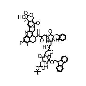 Cc1c(F)cc2nc3c(c4c2c1CC[C@@H]4NC(=O)CNC(=O)[C@H](Cc1ccccc1)NC(=O)CNC(=O)CNC(=O)[C@H](CC(=O)OC(C)(C)C)NC(=O)OCC1c2ccccc2-c2ccccc21)Cn1c-3cc2c(c1=O)COC(=O)[C@@]2(C)O